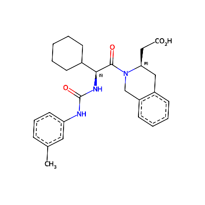 Cc1cccc(NC(=O)N[C@H](C(=O)N2Cc3ccccc3C[C@@H]2CC(=O)O)C2CCCCC2)c1